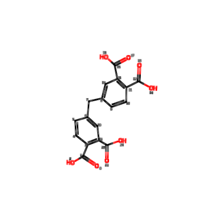 O=C(O)c1ccc(Cc2ccc(C(=O)O)c(C(=O)O)c2)cc1C(=O)O